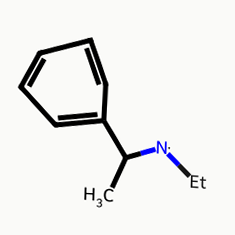 CC[N]C(C)c1ccccc1